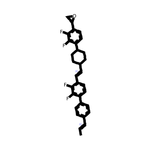 C/C=C/c1ccc(-c2ccc(/C=C/C3CCC(c4ccc(C5CO5)c(F)c4F)CC3)c(F)c2F)cc1